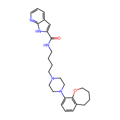 O=C(NCCCCN1CCN(c2cccc3c2OCCCC3)CC1)c1cc2cccnc2[nH]1